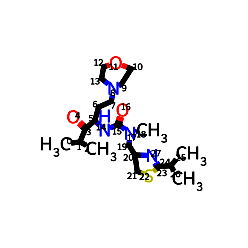 CC(C)C(=O)C(CCN1CCOCC1)NC(=O)N(C)CC1CSC(C(C)C)=N1